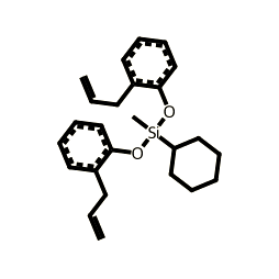 C=CCc1ccccc1O[Si](C)(Oc1ccccc1CC=C)C1CCCCC1